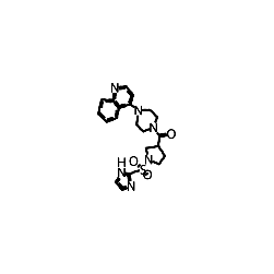 O=C(C1CCN(S(=O)(=O)c2ncc[nH]2)C1)N1CCN(c2ccnc3ccccc23)CC1